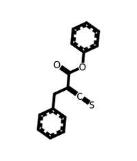 O=C(Oc1ccccc1)C(=C=S)Cc1ccccc1